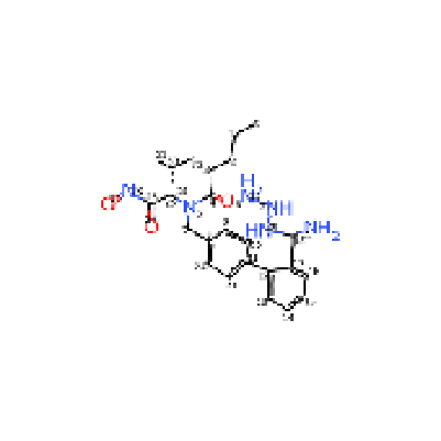 CCCCC(=O)N(Cc1ccc(-c2ccccc2C(N)NNN)cc1)[C@H](C(=O)N=O)C(C)C